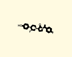 CC(c1ccc(F)cc1)N1CC[C@@H](N2CC[C@H](c3ccc(O)cc3)[C@@H](F)C2)C1=O